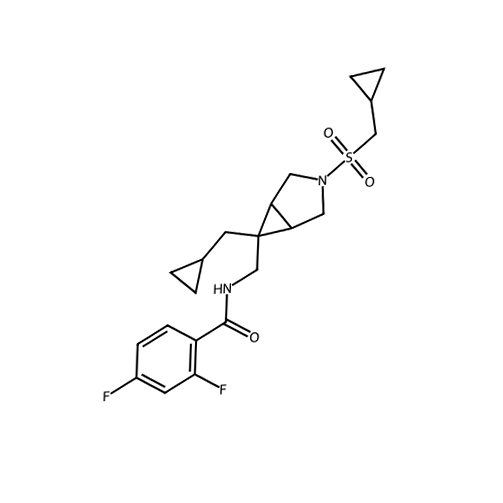 O=C(NCC1(CC2CC2)C2CN(S(=O)(=O)CC3CC3)CC21)c1ccc(F)cc1F